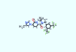 Cc1cn(-c2ccc3n(c2=O)C[C@H]2CC[C@H](c4cc(C(F)(F)F)cc(C(F)(F)F)c4)N2C3=O)cn1